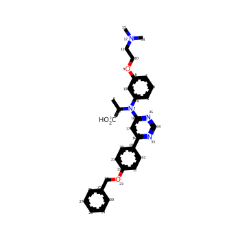 CC(C(=O)O)N(c1cccc(OCCN(C)C)c1)c1cc(-c2ccc(OCc3ccccc3)cc2)ncn1